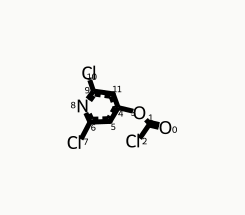 O=C(Cl)Oc1cc(Cl)nc(Cl)c1